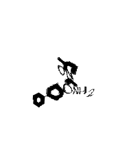 Cc1cccn(C(CN)CO[C@H]2CC[C@@H](c3ccccc3)CC2)c1=O